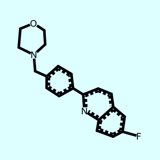 Fc1ccc2nc(-c3ccc(CN4CCOCC4)cc3)ccc2c1